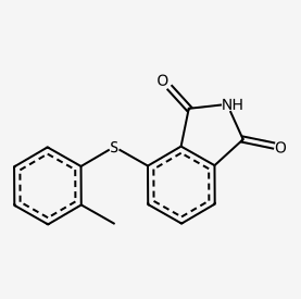 Cc1ccccc1Sc1cccc2c1C(=O)NC2=O